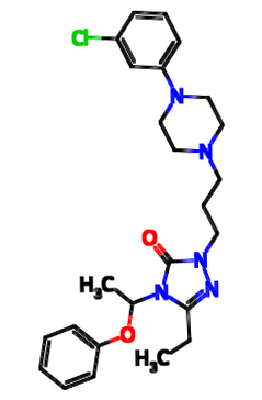 CCc1nn(CCCN2CCN(c3cccc(Cl)c3)CC2)c(=O)n1C(C)Oc1ccccc1